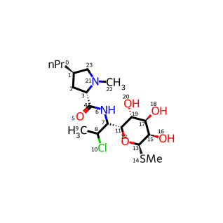 CCC[C@@H]1C[C@@H](C(=O)NC(C(C)Cl)[C@H]2O[C@H](SC)[C@H](O)[C@H](O)[C@H]2O)N(C)C1